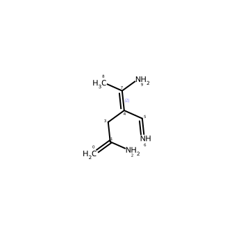 C=C(N)C/C(C=N)=C(\C)N